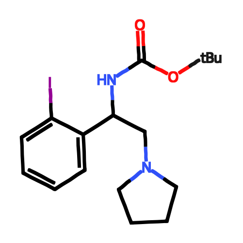 CC(C)(C)OC(=O)NC(CN1CCCC1)c1ccccc1I